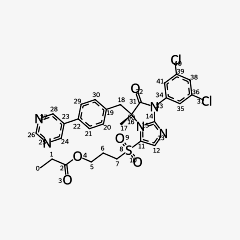 CCC(=O)OCCCS(=O)(=O)c1cnc2n1[C@](C)(Cc1ccc(-c3cncnc3)cc1)C(=O)N2c1cc(Cl)cc(Cl)c1